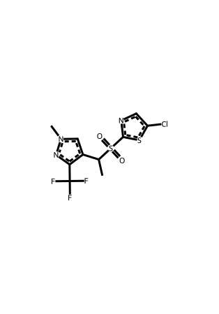 CC(c1cn(C)nc1C(F)(F)F)S(=O)(=O)c1ncc(Cl)s1